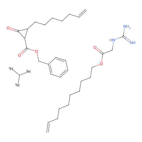 C=CCCCCCC1C(=O)C1C(=O)OCc1ccccc1.C=CCCCCCCCCOC(=O)CNC(=N)N.[2H]C([2H])[2H]